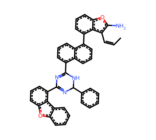 C/C=C\c1c(N)oc2cccc(-c3cccc4c(C5=NC(c6cccc7oc8ccccc8c67)=NC(c6ccccc6)N5)cccc34)c12